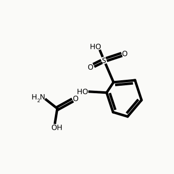 NC(=O)O.O=S(=O)(O)c1ccccc1O